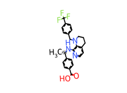 C[C@H](Nc1nccc2c1N(Cc1ccc(C(F)(F)F)cc1)CCC2)c1ccc(C(=O)O)cc1